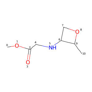 COC(=O)CNC1COC1C